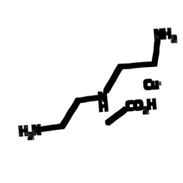 CC(=O)O.NCCNCCN.[Cu]